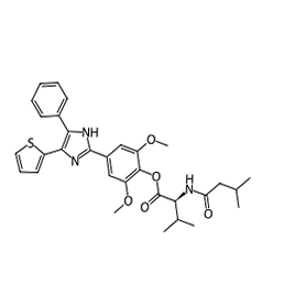 COc1cc(-c2nc(-c3cccs3)c(-c3ccccc3)[nH]2)cc(OC)c1OC(=O)[C@@H](NC(=O)CC(C)C)C(C)C